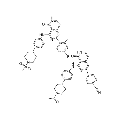 CC(=O)N1CCC(c2ccc(Nc3nc(-c4ccc(C#N)nc4)cc4cc[nH]c(=O)c34)cc2)CC1.Cc1nc(F)ccc1-c1cc2cc[nH]c(=O)c2c(Nc2ccc(C3CCN(S(C)(=O)=O)CC3)cc2)n1